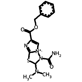 CN(C)C1SC2=NC(C(=O)OCc3ccccc3)=C[N+]2N1C(N)=O